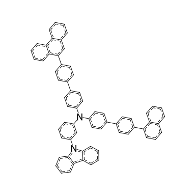 c1cc(N(c2ccc(-c3ccc(-c4cccc5ccccc45)cc3)cc2)c2ccc(-c3ccc(-c4cc5ccccc5c5ccccc45)cc3)cc2)cc(-n2c3ccccc3c3ccccc32)c1